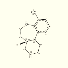 FC(F)(F)c1cccc2c1OCC[C@H]1CNCCN21